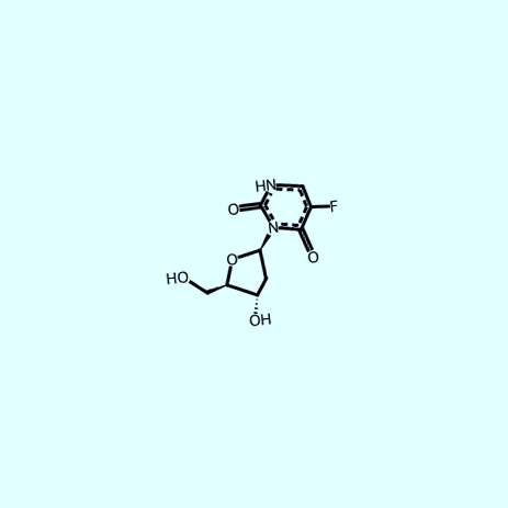 O=c1[nH]cc(F)c(=O)n1[C@H]1C[C@H](O)[C@@H](CO)O1